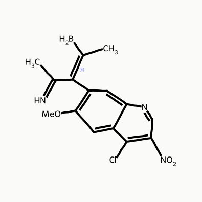 B/C(C)=C(\C(C)=N)c1cc2ncc([N+](=O)[O-])c(Cl)c2cc1OC